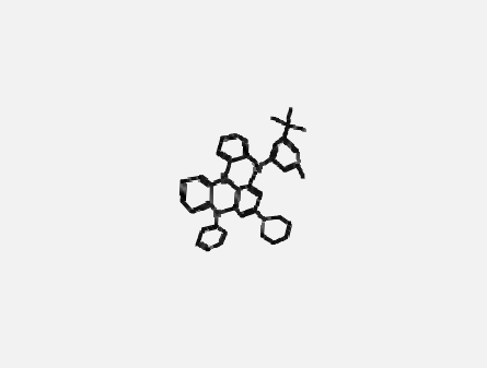 Cc1cc(N2c3ccccc3B3c4ccccc4N(c4ccccc4)c4cc(C5CCCCC5)cc2c43)cc(C(C)(C)C)c1